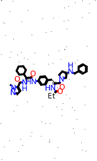 CCC(=O)N[C@H](Cc1ccc(NC(=O)[C@@H](NC(=O)c2ccnn2C)C2CCCCC2)cc1)C(=O)N1CC[C@@H](NCc2ccccc2)C1